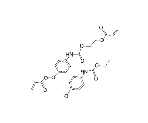 C=CC(=O)OCCOC(=O)Nc1ccc(OOC(=O)C=C)cc1.[CH2]COC(=O)Nc1ccc([O])cc1